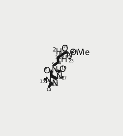 [2H]C([2H])(CCCn1c(=O)c2c(nc(C)n2C)n(C)c1=O)C(=O)N(C)OC